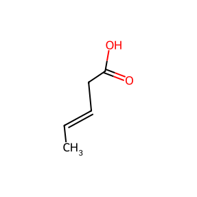 CC=CCC(=O)O